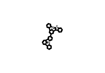 c1ccc2c(c1)sc1c2c2cc(-c3ccc4c(c3)c3cccc5c6ccccc6n4c53)cc3c4ccccc4n1c32